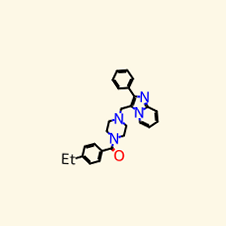 CCc1ccc(C(=O)N2CCN(Cc3c(-c4ccccc4)nc4ccccn34)CC2)cc1